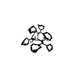 CC(=O)[C](=C(c1ccccc1)c1ccccc1)[Pd]([C](C(C)=O)=C(c1ccccc1)c1ccccc1)[C](C(C)=O)=C(c1ccccc1)c1ccccc1